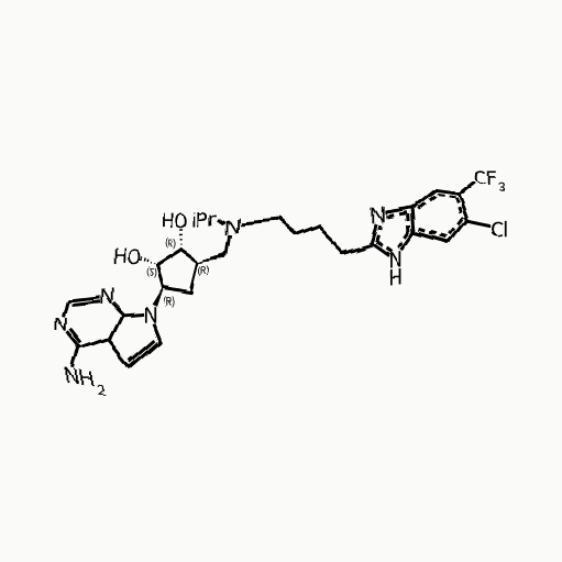 CC(C)N(CCCCc1nc2cc(C(F)(F)F)c(Cl)cc2[nH]1)C[C@H]1C[C@@H](N2C=CC3C(N)=NC=NC32)[C@H](O)[C@@H]1O